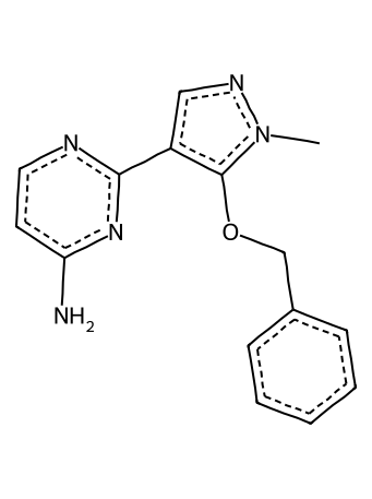 Cn1ncc(-c2nccc(N)n2)c1OCc1ccccc1